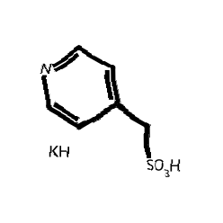 O=S(=O)(O)Cc1ccncc1.[KH]